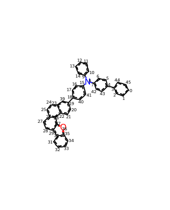 c1ccc(-c2ccc(N(c3ccccc3)c3ccc(-c4ccc5c(ccc6ccc7c8ccccc8oc7c65)c4)cc3)cc2)cc1